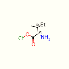 CC[C@H](C)[C@H](N)C(=O)OCl